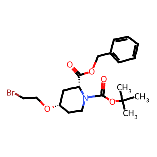 CC(C)(C)OC(=O)N1CC[C@H](OCCBr)C[C@@H]1C(=O)OCc1ccccc1